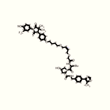 Cc1ncsc1-c1ccc(CNC(=O)[C@@H]2C[C@@H](O)CN2C(=O)C(NC(=O)COC/C=C\COCCCCOc2ccc(C3C(=S)N(c4ccc(C#N)c(C(F)(F)F)c4)C(=O)C3(C)C)cc2)C(C)(C)C)cc1